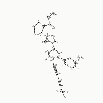 CC(C)(C)OC(=O)N1CCC[C@H]1c1ncc(-c2ccc(C#CC#C[Si](C)(C)C)c(-c3cccc(C(C)(C)C)c3)c2)[nH]1